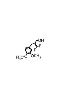 COc1ccc(CC(CO)=C(F)F)cc1OC